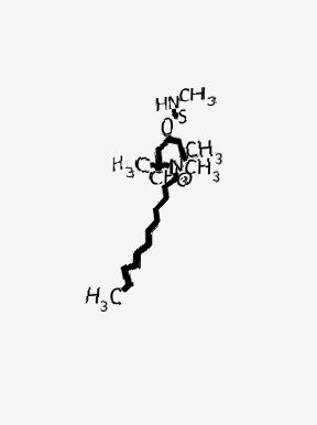 CCCCCCCCCCCC(=O)N1C(C)(C)CC(OC(=S)NC)CC1(C)C